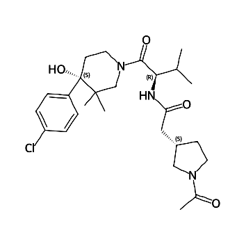 CC(=O)N1CC[C@@H](CC(=O)N[C@@H](C(=O)N2CC[C@](O)(c3ccc(Cl)cc3)C(C)(C)C2)C(C)C)C1